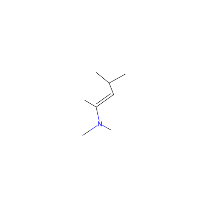 C/C(=C\C(C)C)N(C)C